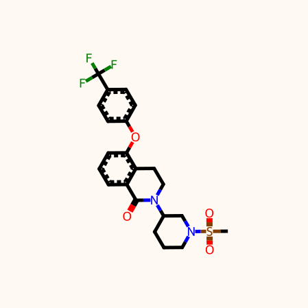 CS(=O)(=O)N1CCCC(N2CCc3c(Oc4ccc(C(F)(F)F)cc4)cccc3C2=O)C1